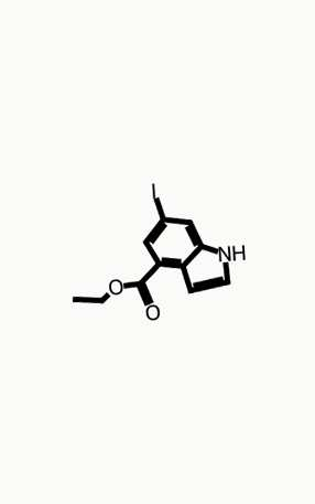 CCOC(=O)c1cc(I)cc2[nH]ccc12